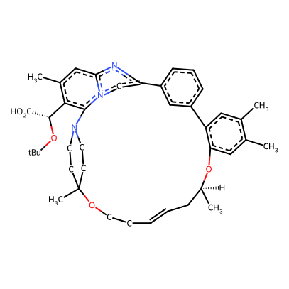 Cc1cc2c(cc1C)-c1cccc(c1)-c1cn3c(c([C@H](OC(C)(C)C)C(=O)O)c(C)cc3n1)N1CCC(C)(CC1)OCC/C=C/C[C@H](C)O2